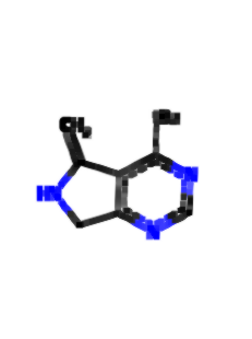 C=C1NCc2ncnc(C(C)(C)C)c21